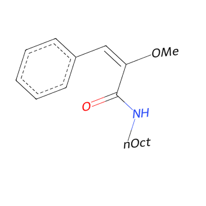 CCCCCCCCNC(=O)C(=Cc1ccccc1)OC